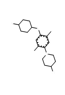 Cc1cc(N2CCC(C(F)(F)F)CC2)c(Cl)cc1NC1CCC(N)CC1